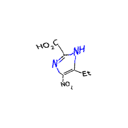 CCc1[nH]c(C(=O)O)nc1[N+](=O)[O-]